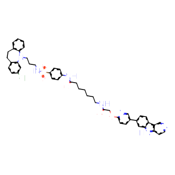 O=C(COc1ccc(-c2ccc3c(c2)[nH]c2ccncc23)cn1)NCCCCCCC(=O)Nc1ccc(S(=O)(=O)NCCCN2c3ccccc3CCc3ccc(Cl)cc32)cc1